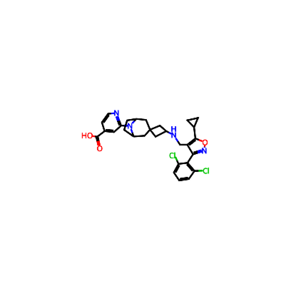 O=C(O)c1ccnc(N2C3CCC2CC2(CC(NCc4c(-c5c(Cl)cccc5Cl)noc4C4CC4)C2)C3)c1